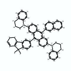 CC1(C)C2=C(CCC=C2)c2cc(-c3c4ccc(N5CCCc6ccccc65)cc4c(-c4ccc5ccccc5c4)c4ccc(N5CCCc6ccccc65)cc34)ccc21